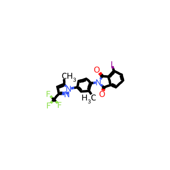 Cc1cc(-n2nc(C(F)(F)F)cc2C)ccc1N1C(=O)c2cccc(I)c2C1=O